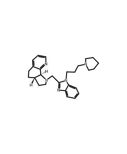 c1cnc2c(c1)CC[C@H]1CCN(Cc3nc4ccccc4n3CCCN3CCCCC3)[C@H]21